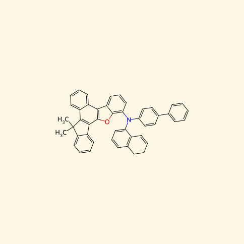 CC1(C)c2ccccc2-c2c1c1ccccc1c1c2oc2c(N(c3ccc(-c4ccccc4)cc3)c3cccc4c3C=CCC4)cccc21